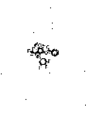 O=C(O[C@H]1c2c(c(C(F)(F)F)nn2[C@@H]2C[C@@H](F)[C@@H](F)[C@@H](F)C2)C2(OCCO2)[C@@H]1F)c1ccccc1